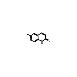 Cc1cc2ccc(=O)[nH]c2cn1